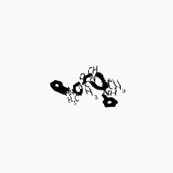 CC1CCN(C(C)C(=O)C(C)N2CCC(C)C(NCc3ccccc3)CC2)CCC1NCc1ccccc1